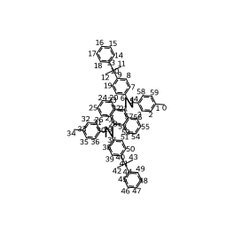 Cc1ccc(N(c2ccc(C(C)(C)c3ccccc3)cc2)c2c3ccccc3c(N(c3ccc(C)cc3)c3ccc(C(C)(C)c4ccccc4)cc3)c3ccccc23)cc1